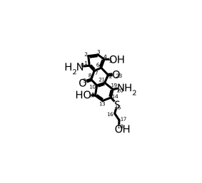 Nc1ccc(O)c2c1C(=O)c1c(O)cc(SCCO)c(N)c1C2=O